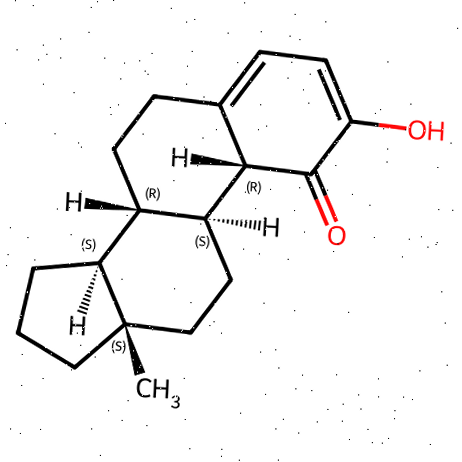 C[C@@]12CCC[C@H]1[C@@H]1CCC3=CC=C(O)C(=O)[C@@H]3[C@H]1CC2